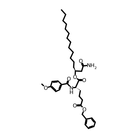 CCCCCCCCCCCCC[C@@H](CC(N)=O)OC(=O)[C@H](CCCC(=O)OCc1ccccc1)NC(=O)c1ccc(OC)cc1